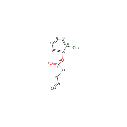 O=CCCC(=O)Oc1ccccc1Cl